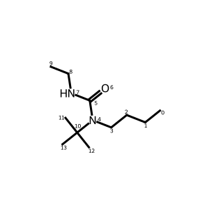 CCCCN(C(=O)NCC)C(C)(C)C